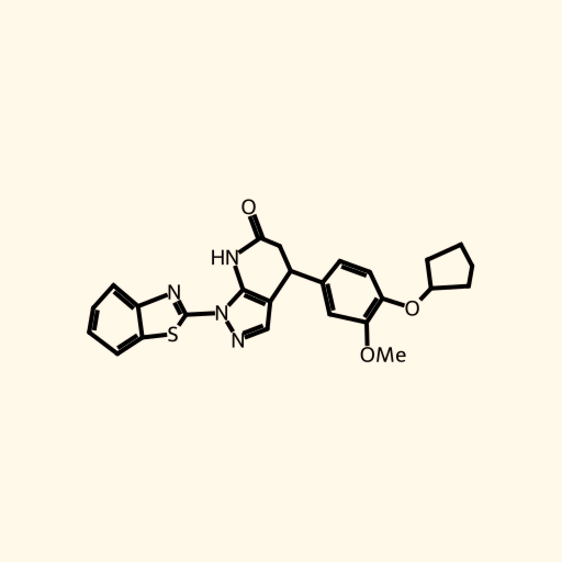 COc1cc(C2CC(=O)Nc3c2cnn3-c2nc3ccccc3s2)ccc1OC1CCCC1